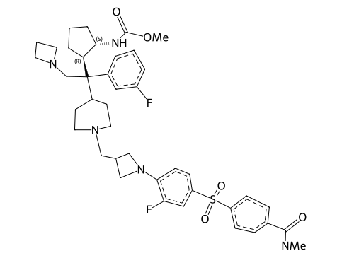 CNC(=O)c1ccc(S(=O)(=O)c2ccc(N3CC(CN4CCC(C(CN5CCC5)(c5cccc(F)c5)[C@H]5CCC[C@@H]5NC(=O)OC)CC4)C3)c(F)c2)cc1